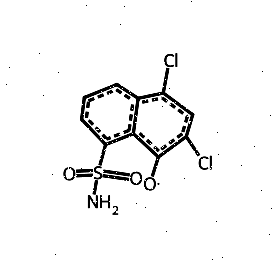 NS(=O)(=O)c1cccc2c(Cl)cc(Cl)c([O])c12